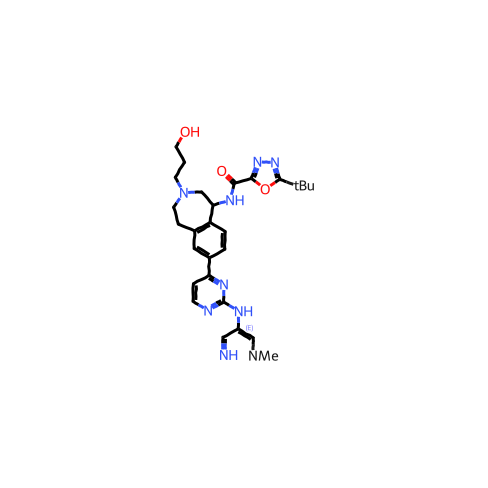 CN/C=C(\C=N)Nc1nccc(-c2ccc3c(c2)CCN(CCCO)CC3NC(=O)c2nnc(C(C)(C)C)o2)n1